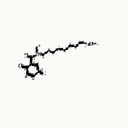 CCCCCCCCCCCCCCCCCCN(C)C(=O)C1=CC(=O)C=CC1=O